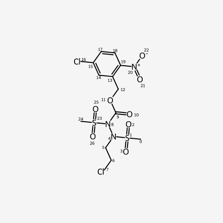 CS(=O)(=O)N(CCCl)N(C(=O)OCc1cc(Cl)ccc1[N+](=O)[O-])S(C)(=O)=O